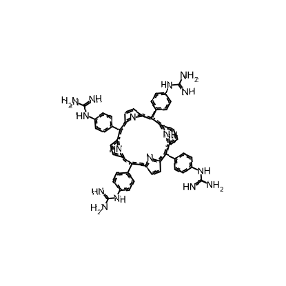 N=C(N)Nc1ccc(-c2c3nc(c(-c4ccc(NC(=N)N)cc4)c4ccc([nH]4)c(-c4ccc(NC(=N)N)cc4)c4nc(c(-c5ccc(NC(=N)N)cc5)c5ccc2[nH]5)C=C4)C=C3)cc1